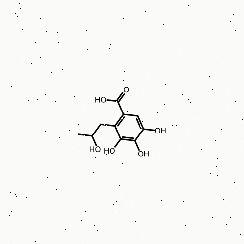 CC(O)Cc1c(C(=O)O)cc(O)c(O)c1O